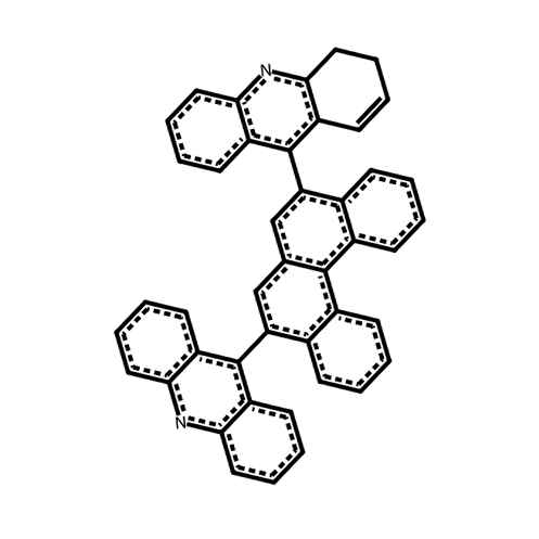 C1=Cc2c(nc3ccccc3c2-c2cc3cc(-c4c5ccccc5nc5ccccc45)c4ccccc4c3c3ccccc23)CC1